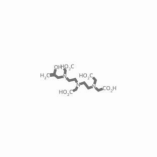 C=C(O)CN(CCN(CCN(CC(=O)O)CC(=O)O)CC(=O)O)CC(=O)O